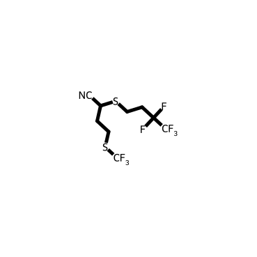 N#CC(CCSC(F)(F)F)SCCC(F)(F)C(F)(F)F